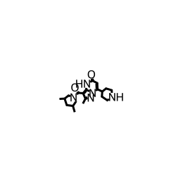 Cc1nn2c(C3CCNCC3)cc(=O)[nH]c2c1C(=O)N1CC(C)CC(C)C1